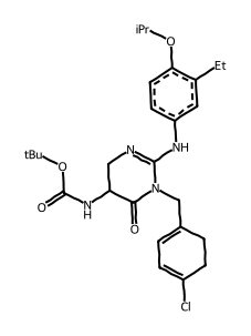 CCc1cc(NC2=NCC(NC(=O)OC(C)(C)C)C(=O)N2CC2=CC=C(Cl)CC2)ccc1OC(C)C